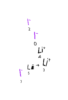 [I-].[I-].[I-].[Li+].[Li+].[Li+]